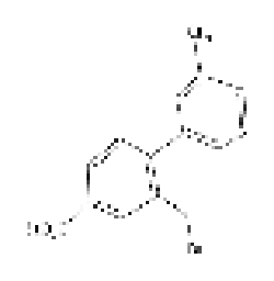 CCOC(=O)c1ccc(-c2cccc(C(F)(F)F)c2)c(CBr)c1